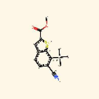 COC(=O)c1cc2ccc(C#N)c([Si](C)(C)C)c2s1